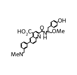 CNCc1cccc(-c2ccc3nc(C(=O)N[C@H](COC)Cc4ccc(O)cc4)cc(C(=O)O)c3c2)c1